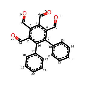 O=Cc1c(C=O)c(C=O)c(-c2ccccc2)c(-c2ccccc2)c1C=O